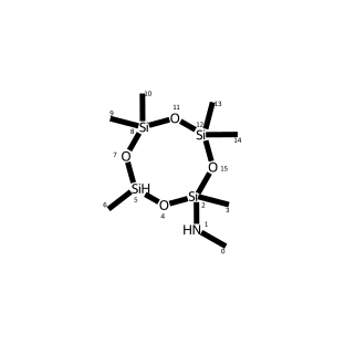 CN[Si]1(C)O[SiH](C)O[Si](C)(C)O[Si](C)(C)O1